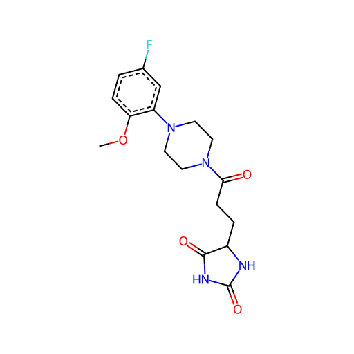 COc1ccc(F)cc1N1CCN(C(=O)CCC2NC(=O)NC2=O)CC1